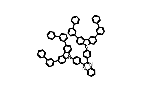 c1ccc(-c2cccc(-c3ccc4c(c3)c3cc(-c5cccc(-c6ccccc6)c5)ccc3n4-c3ccc(-c4nc5ccccc5nc4-c4ccc(-n5c6ccc(-c7cccc(-c8ccccc8)c7)cc6c6cc(-c7cccc(-c8ccccc8)c7)ccc65)cc4)cc3)c2)cc1